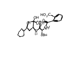 CCCC[C@H](NC(=O)c1ccccc1C(=O)O)C(=O)N[C@@H](CC(=O)C1CCCCC1)C(O)(C(=O)O)C(C)C